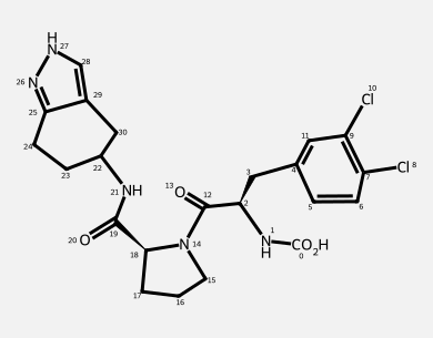 O=C(O)N[C@H](Cc1ccc(Cl)c(Cl)c1)C(=O)N1CCC[C@H]1C(=O)NC1CCc2n[nH]cc2C1